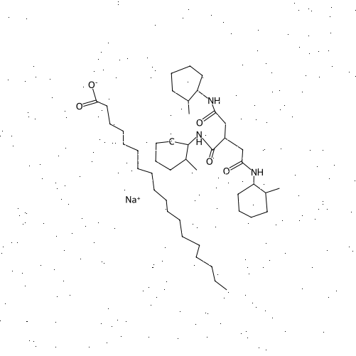 CC1CCCCC1NC(=O)CC(CC(=O)NC1CCCCC1C)C(=O)NC1CCCCC1C.CCCCCCCCCCCCCCCCCC(=O)[O-].[Na+]